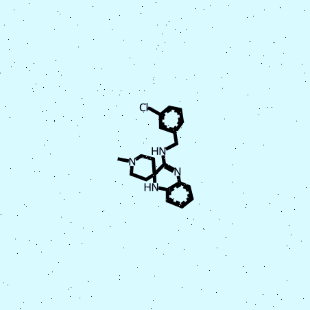 CN1CCC2(CC1)Nc1ccccc1N=C2NCc1cccc(Cl)c1